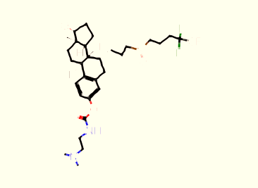 CN(C)CCNC(=O)Oc1ccc2c(c1)C[C@@H](CCC[S+]([O-])CCCC(F)(F)C(F)(F)F)[C@@H]1[C@@H]2CC[C@]2(C)[C@@H](O)CC[C@@H]12